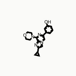 Oc1cccc(-c2cn3cc(C4CC4)nc3c(N3CCOCC3)n2)c1